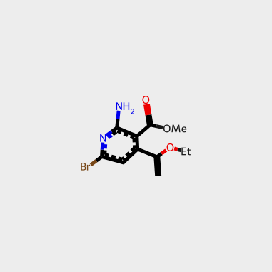 C=C(OCC)c1cc(Br)nc(N)c1C(=O)OC